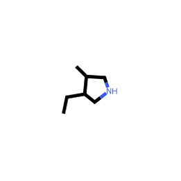 CCC1CNCC1C